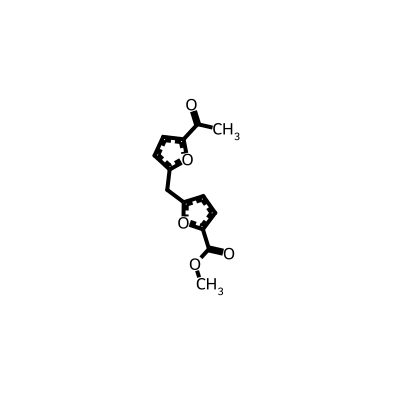 COC(=O)c1ccc(Cc2ccc(C(C)=O)o2)o1